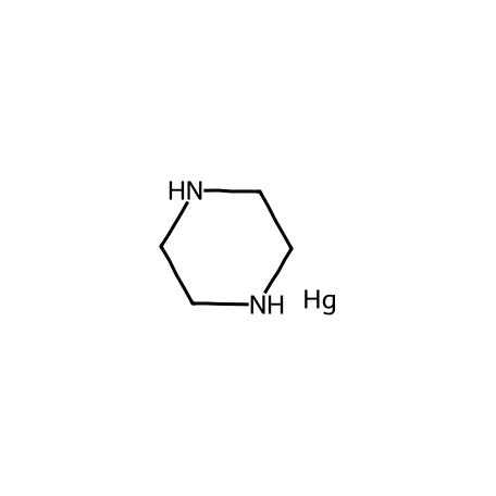 C1CNCCN1.[Hg]